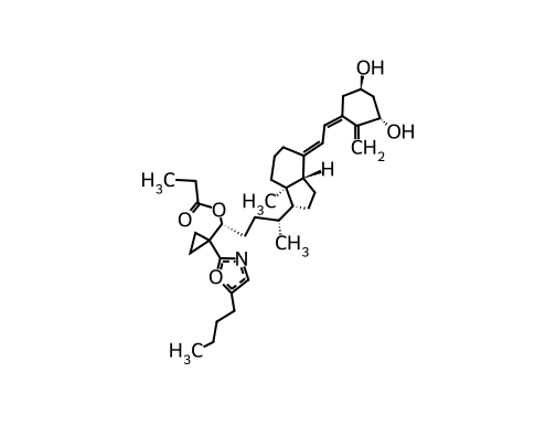 C=C1/C(=C\C=C2/CCC[C@]3(C)[C@@H]([C@H](C)CC[C@@H](OC(=O)CC)C4(c5ncc(CCCC)o5)CC4)CC[C@@H]23)C[C@@H](O)C[C@@H]1O